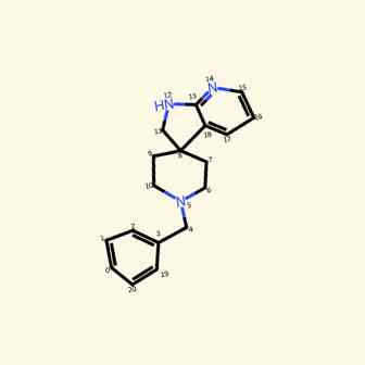 c1ccc(CN2CCC3(CC2)CNc2ncccc23)cc1